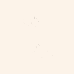 CC([C@H]1CC[C@@H](c2ccnc3ccc(F)cc32)CC1)N1NC2=CC(C=CC(Cl)=C2)C1=O